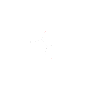 CC(O)C(C)CO